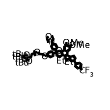 CCC1(CC)c2cc(-c3ccc(C(F)(F)F)cc3)ccc2-c2c1c1c(c3cc(OC)c(OC)cc23)OC(c2ccc(OCCOC(C)(C)CC[Si](OC(C)(C)C)(OC(C)(C)C)OC(C)(C)C)cc2)(c2ccc(N3CCOCC3)cc2)C=C1